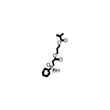 C=C(C)C(=O)OCCCOC(=O)CCP(=O)(O)c1ccccc1